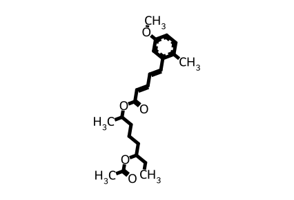 CCC(CCCC(C)OC(=O)/C=C/C=C/c1cc(OC)ccc1C)OC(C)=O